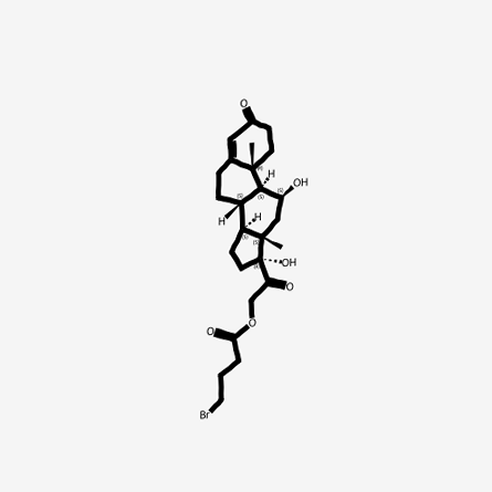 C[C@]12CCC(=O)C=C1CC[C@@H]1[C@@H]2[C@@H](O)C[C@@]2(C)[C@H]1CC[C@]2(O)C(=O)COC(=O)CCCBr